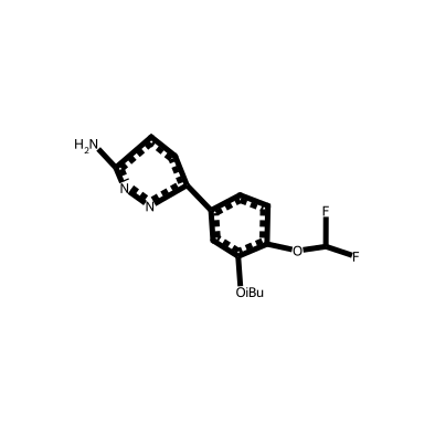 CC(C)COc1cc(-c2ccc(N)nn2)ccc1OC(F)F